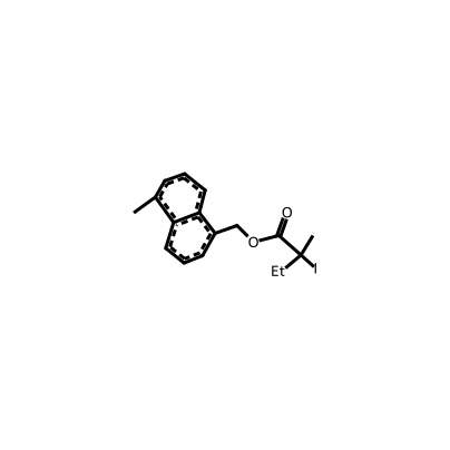 CCC(C)(I)C(=O)OCc1cccc2c(C)cccc12